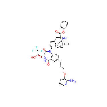 Nc1ncccc1OCCCCc1ccc2c(c1)C(=O)NCC(=O)N2c1ccc(C[C@@]2(C(=O)Oc3ccccc3)NC2(C=O)CC=O)cc1.O=C(O)C(F)(F)F